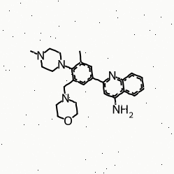 Cc1cc(-c2cc(N)c3ccccc3n2)cc(CN2CCOCC2)c1N1CCN(C)CC1